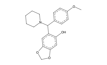 COc1ccc(C(c2cc3c(cc2O)OCO3)N2CCCCC2)cc1